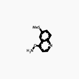 CSc1ccc2nccc(ON)c2c1